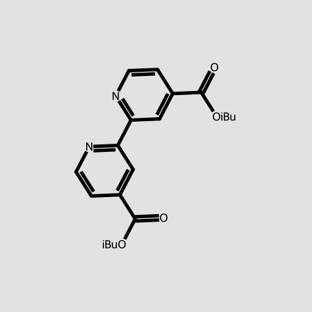 CC(C)COC(=O)c1ccnc(-c2cc(C(=O)OCC(C)C)ccn2)c1